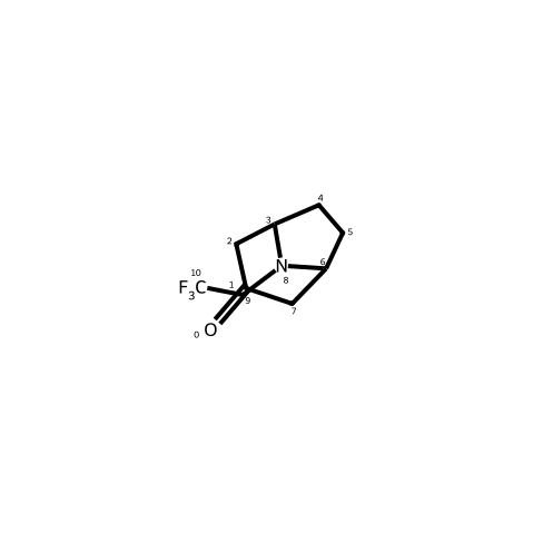 O=C1CC2CCC(C1)N2CC(F)(F)F